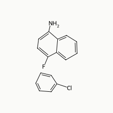 Clc1ccccc1.Nc1ccc(F)c2ccccc12